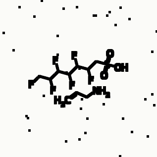 C=CCN.O=S(=O)(O)CC(F)C(F)C(F)C(F)C(F)CF